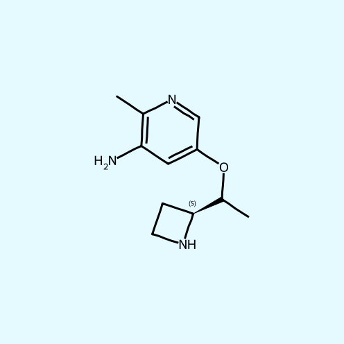 Cc1ncc(OC(C)[C@@H]2CCN2)cc1N